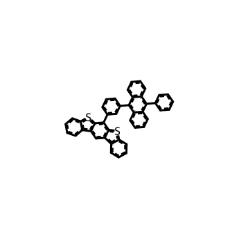 c1ccc(-c2c3ccccc3c(-c3cccc(-c4c5sc6ccccc6c5cc5c4sc4ccccc45)c3)c3ccccc23)cc1